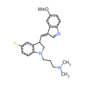 COc1ccc2c(c1)/C(=C/C1CN(CCCN(C)C)c3ccc(F)cc31)C=N2